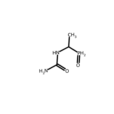 CC(NC(N)=O)[PH2]=O